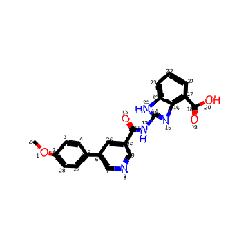 COc1ccc(-c2cncc(C(=O)Nc3nc4c(C(=O)O)cccc4[nH]3)c2)cc1